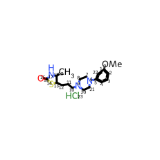 COc1cccc(N2CCN(CCCC3SC(=O)NC3C)CC2)c1.Cl